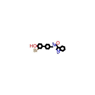 CN(Cc1ccc(-c2ccc(O)c(Br)c2)cc1)C(=O)c1cn(C)c2ccccc12